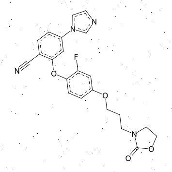 N#Cc1ccc(-n2ccnc2)cc1Oc1ccc(OCCCN2CCOC2=O)cc1F